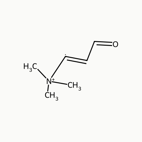 C[N+](C)(C)[C]=CC=O